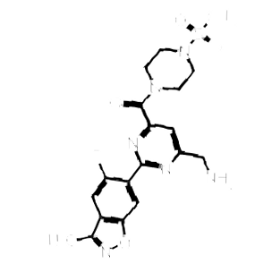 Cc1noc2cc(-c3nc(CN)cc(C(=O)N4CCN(S(C)(=O)=O)CC4)n3)c(F)cc12